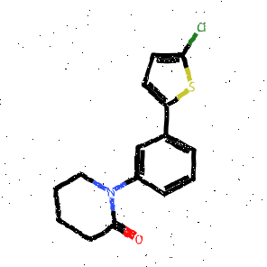 O=C1CCCCN1c1[c]ccc(-c2ccc(Cl)s2)c1